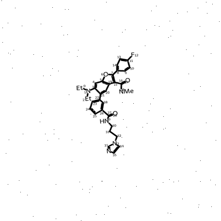 CCN(CC)c1cc2oc(-c3ccc(F)cc3)c(C(=O)NC)c2cc1-c1cccc(C(=O)NCCCn2ccnc2)c1